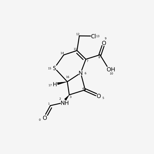 O=CN[C@@H]1C(=O)N2C(C(=O)O)=C(CCl)CS[C@@H]12